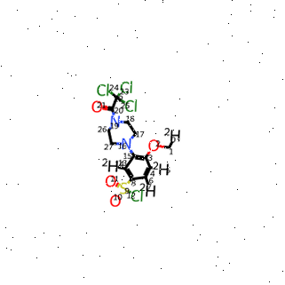 [2H]COc1c([2H])c([2H])c(S(=O)(=O)Cl)c([2H])c1N1CCN(C(=O)C(Cl)(Cl)Cl)CC1